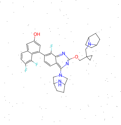 Oc1cc(-c2ccc3c(N4CC5CCC(C4)N5)nc(OCC4(CN5C6CCC5CC6)CC4)nc3c2F)c2c(F)c(F)ccc2c1